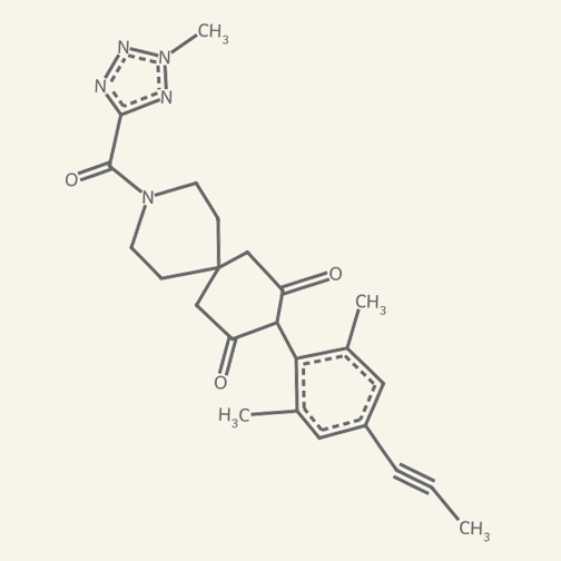 CC#Cc1cc(C)c(C2C(=O)CC3(CCN(C(=O)c4nnn(C)n4)CC3)CC2=O)c(C)c1